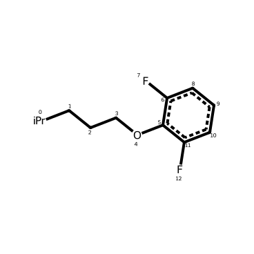 CC(C)CCCOc1c(F)cccc1F